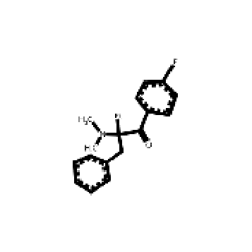 CCC(Cc1ccccc1)(C(=O)c1ccc(F)cc1)N(C)C